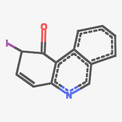 O=C1c2c(ncc3ccccc23)C=CC1I